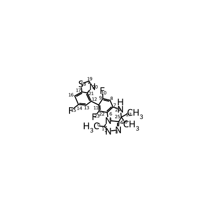 Cc1nnc2n1-c1c(cc(F)c(-c3cc(F)cc4scnc34)c1F)NC2(C)C